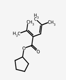 CC(C)=CC(C(=O)OC1CCCC1)=C(C)C